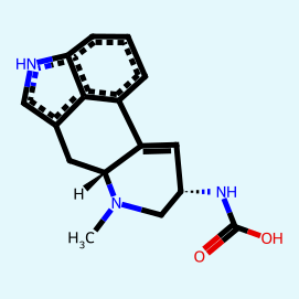 CN1C[C@@H](NC(=O)O)C=C2c3cccc4[nH]cc(c34)C[C@H]21